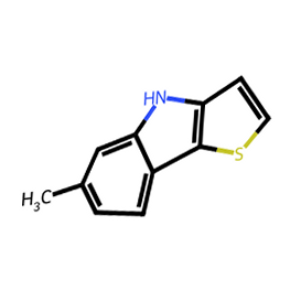 Cc1ccc2c(c1)[nH]c1ccsc12